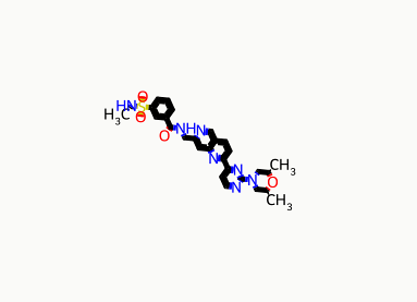 CNS(=O)(=O)c1cccc(C(=O)NCc2cc3nc(-c4ccnc(N5C[C@@H](C)O[C@@H](C)C5)n4)ccc3cn2)c1